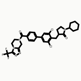 O=C(c1ccc(-c2cc(Cl)c(CC3CCN(C4CCCCC4)C3=O)c(Cl)c2)cc1)N1CCn2c(nnc2C(F)(F)F)C1